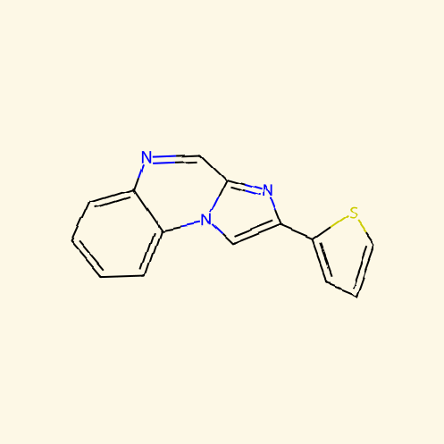 c1csc(-c2cn3c(cnc4ccccc43)n2)c1